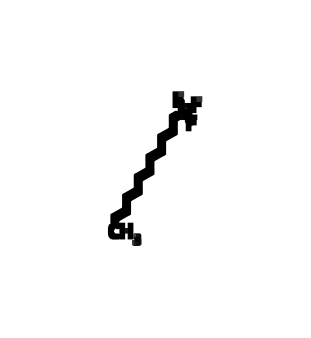 CCCCCCCCCCCC[Si](F)(F)F